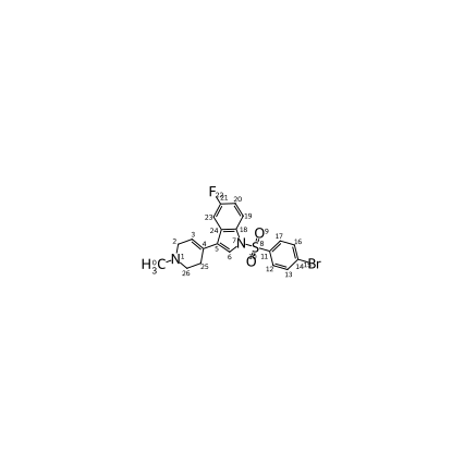 CN1CC=C(c2cn(S(=O)(=O)c3ccc(Br)cc3)c3ccc(F)cc23)CC1